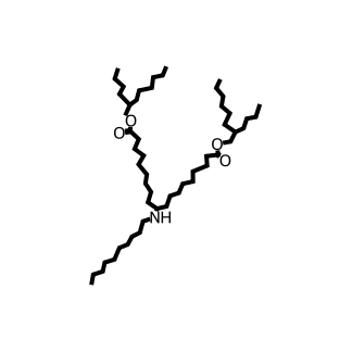 CCCCCCCCCCNC(CCCCCCCCC(=O)OCC(CCCC)CCCCCC)CCCCCCCCC(=O)OCC(CCCC)CCCCCC